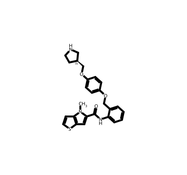 Cn1c(C(=O)Nc2ccccc2COc2ccc(OC[C@H]3CCNC3)cc2)cc2sccc21